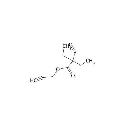 C#CCOC(=O)C(CC)(CC)P=O